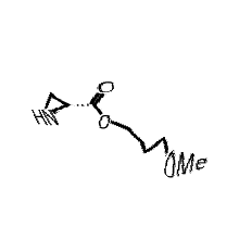 COCCCOC(=O)[C@H]1CN1